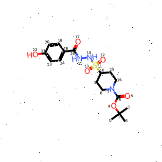 CC(C)(C)OC(=O)N1CCC(S(=O)(=O)NNC(=O)c2ccc(O)cc2)CC1